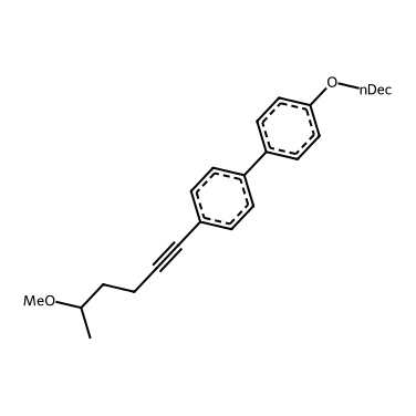 CCCCCCCCCCOc1ccc(-c2ccc(C#CCCC(C)OC)cc2)cc1